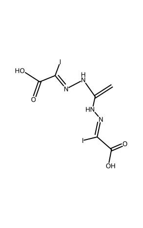 C=C(N/N=C(\I)C(=O)O)N/N=C(\I)C(=O)O